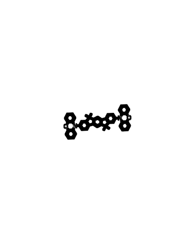 CC1(C)c2cc(N3c4ccccc4Oc4ccccc43)ccc2-c2cc3c(cc21)-c1ccc(N2c4ccccc4Oc4ccccc42)cc1C3(C)C